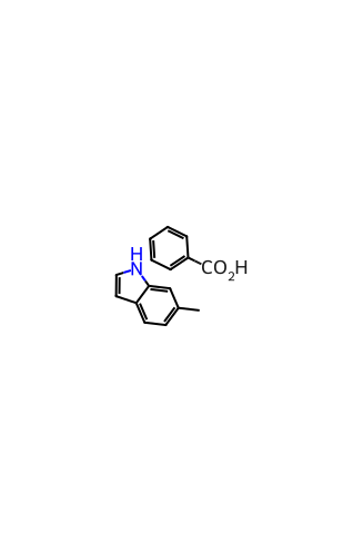 Cc1ccc2cc[nH]c2c1.O=C(O)c1ccccc1